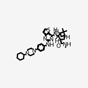 CNC(=O)[C@@H]1C[C@H]2C[C@H](C2(C)C)[C@@]1(C)Nc1nc(Nc2ccc(N3CCN(C4CCCCC4)CC3)cc2)nc2ccsc12